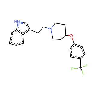 FC(F)(F)c1ccc(OC2CCN(CCc3c[nH]c4ccccc34)CC2)cc1